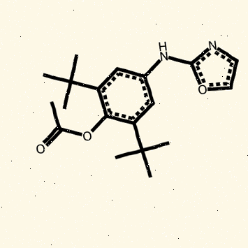 CC(=O)Oc1c(C(C)(C)C)cc(Nc2ncco2)cc1C(C)(C)C